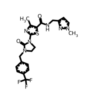 Cc1nc(N2CCN(Cc3ccc(C(F)(F)F)cc3)C2=O)sc1C(=O)NCc1ccn(C)n1